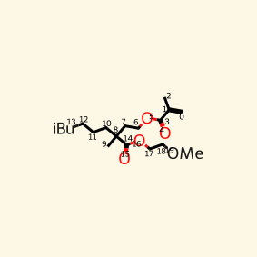 C=C(C)C(=O)OCCC(C)(CCCC(C)CC)C(=O)OCCOC